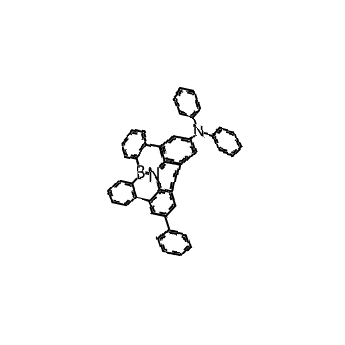 c1ccc(-c2cc3c4c(c2)c2cc(N(c5ccccc5)c5ccccc5)cc5c2n4B(c2ccccc2-3)c2ccccc2-5)cc1